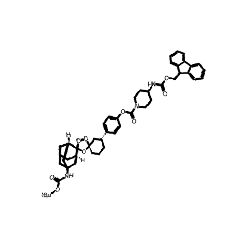 CC(C)(C)OC(=O)NC12CC3C[C@H](C1)C1(OO[C@@]4(CCC[C@@H](c5ccc(OC(=O)N6CCC(NC(=O)OCC7c8ccccc8-c8ccccc87)CC6)cc5)C4)O1)[C@@H](C3)C2